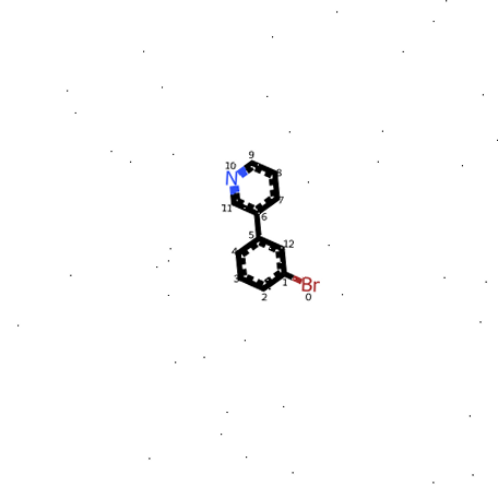 Brc1[c]ccc(-c2cccnc2)c1